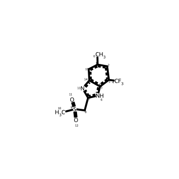 Cc1cc(C(F)(F)F)c2[nH]c(CS(C)(=O)=O)nc2c1